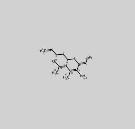 C=CCCCCC(=C\CCC)/C(N)=C(C)\N=C(/C)Cl